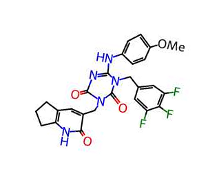 COc1ccc(Nc2nc(=O)n(Cc3cc4c([nH]c3=O)CCC4)c(=O)n2Cc2cc(F)c(F)c(F)c2)cc1